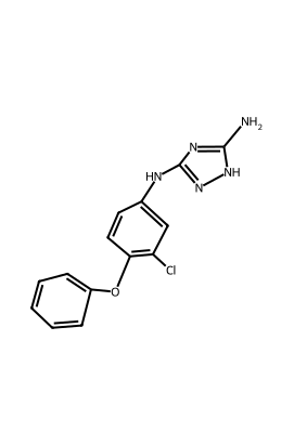 Nc1nc(Nc2ccc(Oc3ccccc3)c(Cl)c2)n[nH]1